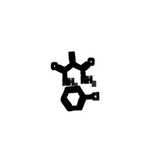 C=C(C(N)=O)C(N)=O.Clc1ccccc1